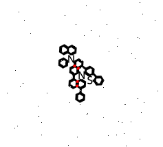 c1ccc(-c2ccc(N(c3ccccc3-c3ccccc3)c3c(-c4ccc(N(c5ccccc5)c5cccc6ccccc56)cc4)ccc4c3sc3ccccc34)cc2)cc1